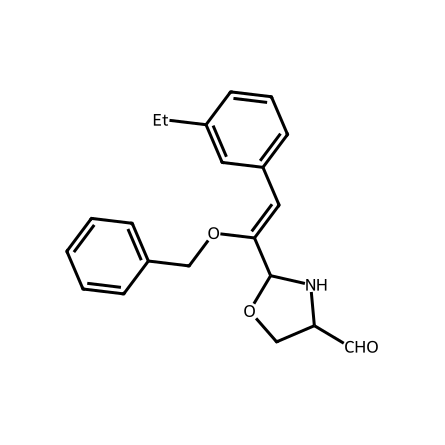 CCc1cccc(C=C(OCc2ccccc2)C2NC(C=O)CO2)c1